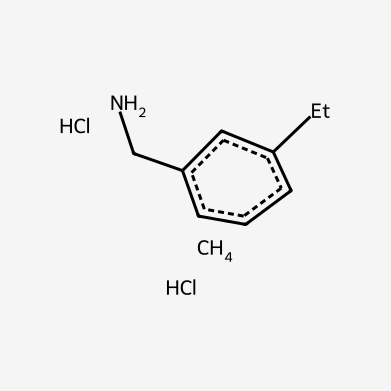 C.CCc1cccc(CN)c1.Cl.Cl